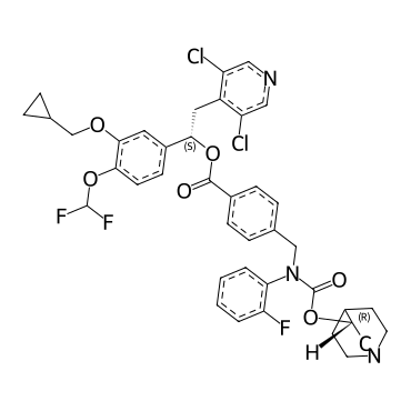 O=C(O[C@@H](Cc1c(Cl)cncc1Cl)c1ccc(OC(F)F)c(OCC2CC2)c1)c1ccc(CN(C(=O)O[C@H]2CN3CCC2CC3)c2ccccc2F)cc1